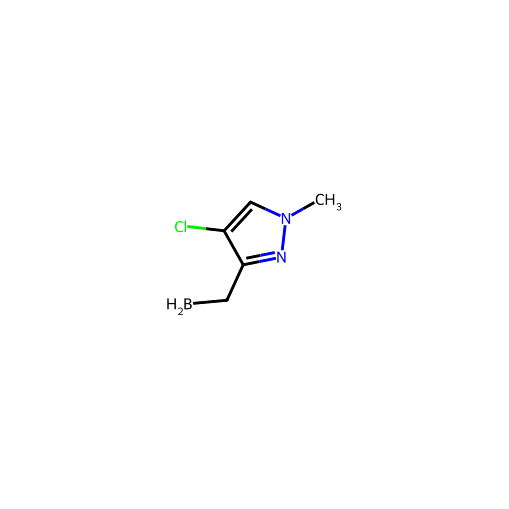 BCc1nn(C)cc1Cl